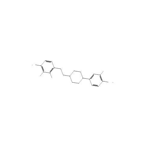 CCCCCc1ccc(C2CCC(CCc3ccc(CCC)c(F)c3F)CC2)cc1F